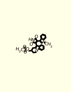 Cn1cc(C2=C(c3c4n(c5ccccc35)CCC(COS(C)(=O)=O)C4)C(=O)NC2=O)c2ccccc21